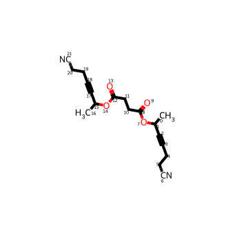 CC(C#CCCC#N)OC(=O)CCC(=O)OC(C)C#CCCC#N